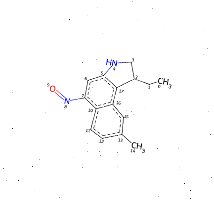 CCC1CNc2cc(N=O)c3ccc(C)cc3c21